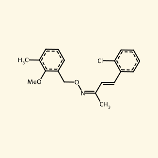 COc1c(C)cccc1CON=C(C)C=Cc1ccccc1Cl